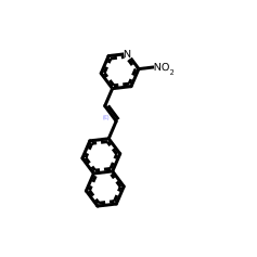 O=[N+]([O-])c1cc(/C=C/c2ccc3ccccc3c2)ccn1